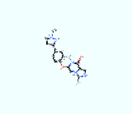 CC(C)c1ncc2c(=O)n(C)c(Oc3ccc(-c4ccn(C(C)C)n4)cc3)cn12